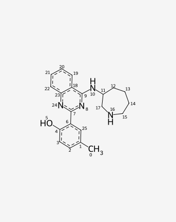 Cc1ccc(O)c(-c2nc(NC3CCCCNC3)c3ccccc3n2)c1